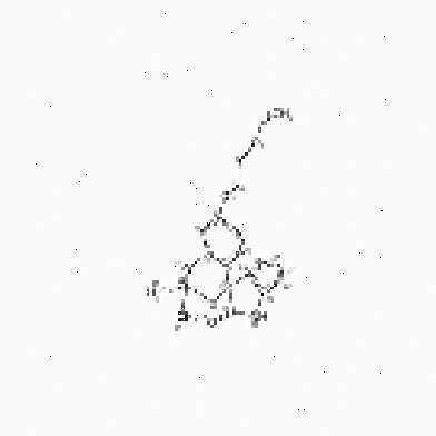 CCOCCOc1ccc2c(c1)OC(C)(C)CC21C(=O)Nc2ccccc21